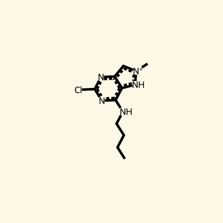 CCCCNc1nc(Cl)nc2c[n+](C)[nH]c12